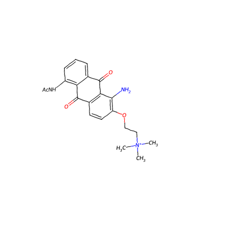 CC(=O)Nc1cccc2c1C(=O)c1ccc(OCC[N+](C)(C)C)c(N)c1C2=O